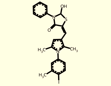 Cc1cc(-n2c(C)cc(/C=C3/SC(O)N(c4ccccc4)C3=O)c2C)ccc1I